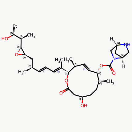 CC[C@H](O)[C@@H](C)[C@H]1O[C@@H]1C[C@H](C)/C=C/C=C(\C)[C@H]1OC(=O)C[C@H](O)CC[C@H](C)[C@@H](OC(=O)N2C[C@@H]3C[C@H]2CN3)/C=C/[C@@H]1C